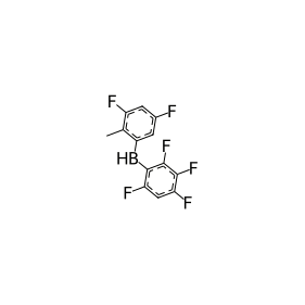 Cc1c(F)cc(F)cc1Bc1c(F)cc(F)c(F)c1F